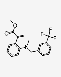 C=C(C(=O)OC)c1ccccc1N(C)Cc1cccc(C(F)(F)F)c1